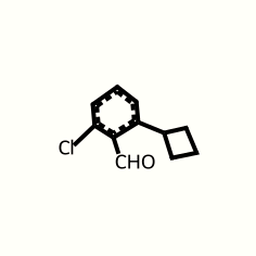 O=Cc1c(Cl)cccc1C1CCC1